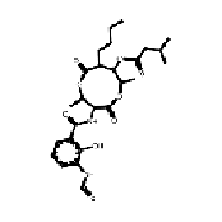 CCCCC1C(=O)OC(C)C(NC(=O)c2cccc(NC=O)c2O)C(=O)OC(C)C1NC(=O)CC(C)C